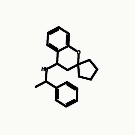 CC(NC1CC2(CCCC2)Oc2ccccc21)c1ccccc1